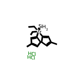 C[CH2][Zr](=[SiH2])([CH2]C)([C]1=CC(C)=CC1)[C]1=CC(C)=CC1.Cl.Cl